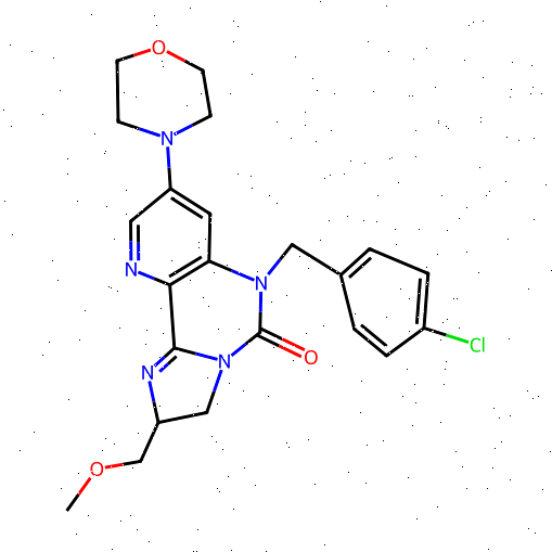 COCC1CN2C(=O)N(Cc3ccc(Cl)cc3)c3cc(N4CCOCC4)cnc3C2=N1